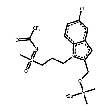 CC(C)(C)[Si](C)(C)OCc1cc2cc(Cl)ccc2n1CCCS(C)(=O)=NC(=O)C(F)(F)F